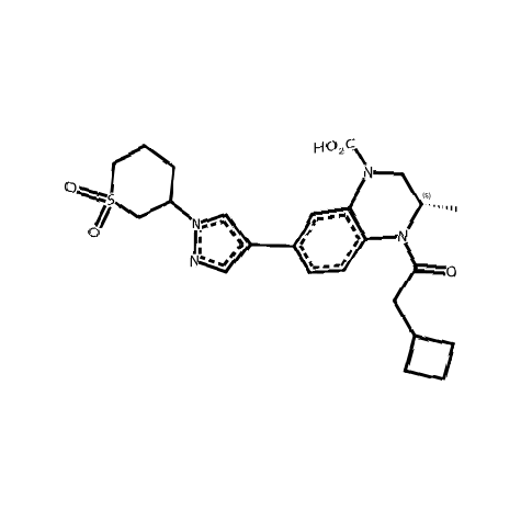 C[C@H]1CN(C(=O)O)c2cc(-c3cnn(C4CCCS(=O)(=O)C4)c3)ccc2N1C(=O)CC1CCC1